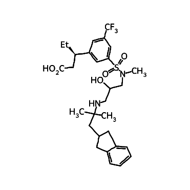 CC[C@H](CC(=O)O)c1cc(C(F)(F)F)cc(S(=O)(=O)N(C)CC(O)CNC(C)(C)CC2Cc3ccccc3C2)c1